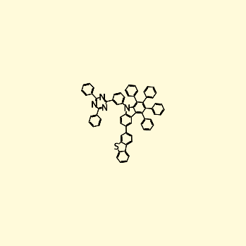 c1ccc(-c2nc(-c3ccccc3)nc(-c3cccc(-n4c5ccc(-c6ccc7c(c6)sc6ccccc67)cc5c5c(-c6ccccc6)c(-c6ccccc6)c(-c6ccccc6)c(-c6ccccc6)c54)c3)n2)cc1